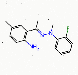 C/C(=N\N(C)c1ccccc1F)c1cc(C)ccc1N